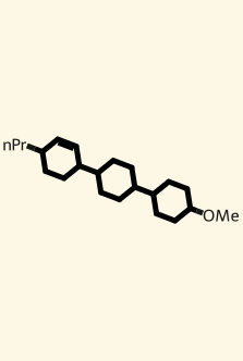 CCCC1C=CC(C2CCC(C3CCC(OC)CC3)CC2)CC1